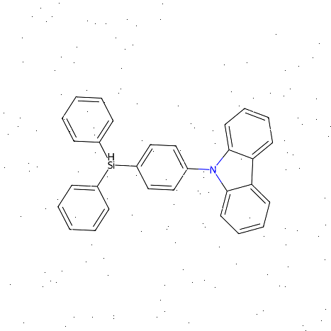 c1ccc([SiH](c2ccccc2)c2ccc(-n3c4ccccc4c4ccccc43)cc2)cc1